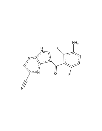 N#Cc1cnc2[nH]cc(C(=O)c3c(F)ccc(N)c3F)c2n1